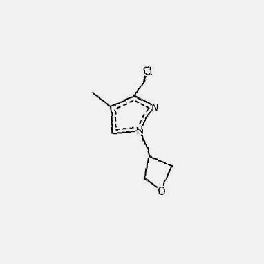 Cc1cn(C2COC2)nc1Cl